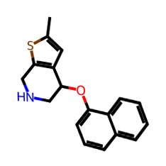 Cc1cc2c(s1)CNCC2Oc1cccc2ccccc12